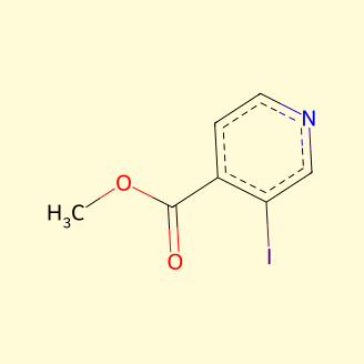 COC(=O)c1ccncc1I